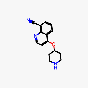 N#Cc1cccc2c(OC3CCNCC3)ccnc12